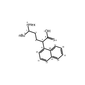 CCCCCCC(CCCC)CCC(C(O)=S)c1cccc2ccccc12